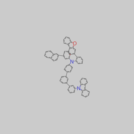 c1cc(-c2ccc(N(c3cccc(-c4ccc5ccccc5c4)c3)c3ccccc3-c3ccc4c(c3)oc3ccccc34)cc2)cc(-c2cccc(-n3c4ccccc4c4ccccc43)c2)c1